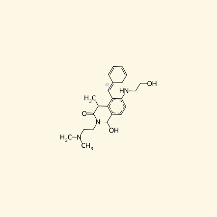 CC1C(=O)N(CCN(C)C)C(O)c2ccc(NCCO)c(/C=C3/C=CC=CC3)c21